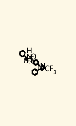 O=C(NS(=O)(=O)c1ccc(-n2nc(C(F)(F)F)cc2C2=CCCC=C2)cc1)C1CCCCC1